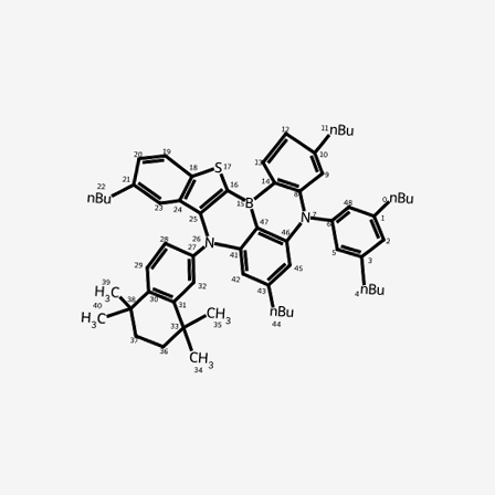 CCCCc1cc(CCCC)cc(N2c3cc(CCCC)ccc3B3c4sc5ccc(CCCC)cc5c4N(c4ccc5c(c4)C(C)(C)CCC5(C)C)c4cc(CCCC)cc2c43)c1